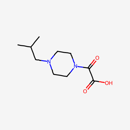 CC(C)CN1CCN(C(=O)C(=O)O)CC1